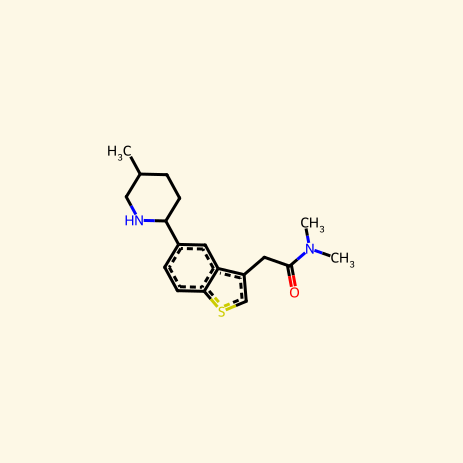 CC1CCC(c2ccc3scc(CC(=O)N(C)C)c3c2)NC1